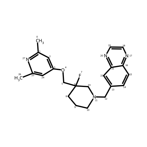 Cc1cc(OCC2(F)CCCN(Cc3ccc4nccnc4c3)C2)cc(C)n1